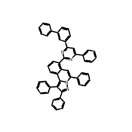 c1ccc(-c2cccc(-c3cc(-c4ccccc4)nc(-c4cccc5c4cc(-c4ccccc4)n4nc(-c6ccccc6)c(-c6ccccc6)c54)n3)c2)cc1